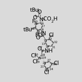 CC(C)(C)OC(=O)N(C(=O)O)c1cc(NC(=O)c2cc(NC(=O)[C@H]3[C@H](c4cc(Cl)cc(Cl)c4)C3(Cl)Cl)ccc2Cl)c(F)c(C(C)(C)C)c1F